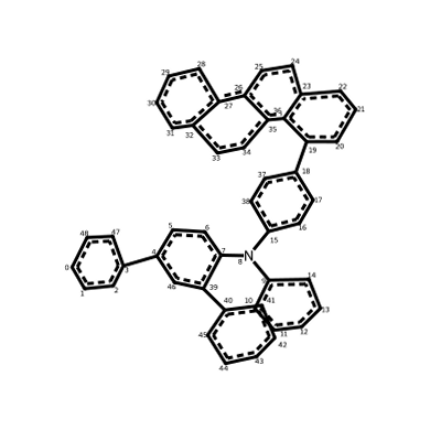 c1ccc(-c2ccc(N(c3ccccc3)c3ccc(-c4cccc5ccc6c7ccccc7ccc6c45)cc3)c(-c3ccccc3)c2)cc1